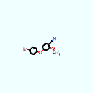 COc1cc(Oc2ccc(Br)cc2)ccc1C#N